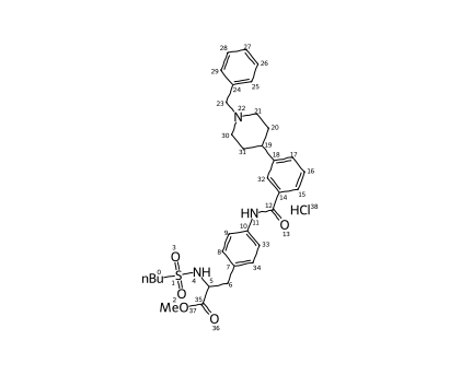 CCCCS(=O)(=O)NC(Cc1ccc(NC(=O)c2cccc(C3CCN(Cc4ccccc4)CC3)c2)cc1)C(=O)OC.Cl